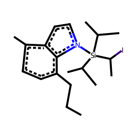 CCCc1ccc(C)c2ccn([Si](C(C)C)(C(C)C)C(C)I)c12